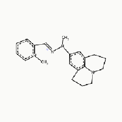 CN(/N=C/c1cccc[n+]1C)c1cc2c3c(c1)CCCN3CCC2